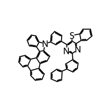 c1ccc(-c2cccc(-c3nc(-c4cccc(-n5c6ccccc6c6c7c8ccccc8c8ccccc8c7ccc65)c4)c4sc5ccccc5c4n3)c2)cc1